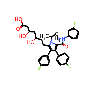 CC(C)n1c(CC[C@@H](O)C[C@@H](O)CC(=O)O)c(-c2ccc(F)cc2)c(-c2ccc(F)cc2)c1C(=O)Nc1cccc(F)c1